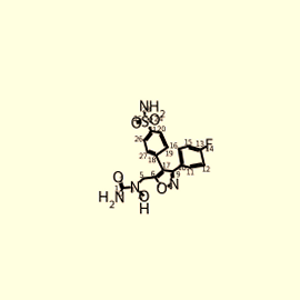 NC(=O)N(O)Cc1onc(-c2ccc(F)cc2)c1-c1ccc(S(N)(=O)=O)cc1